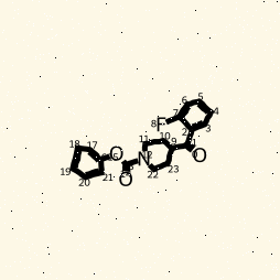 O=C(c1ccccc1F)C1CCN(C(=O)Oc2ccccc2)CC1